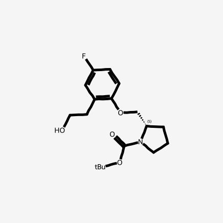 CC(C)(C)OC(=O)N1CCC[C@H]1COc1ccc(F)cc1CCO